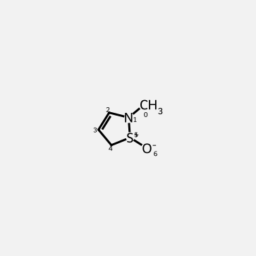 CN1C=CC[S+]1[O-]